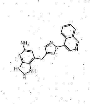 Nc1cc(Cc2cnn(-c3cncc4ccccc34)c2)c2c(n1)NNN2